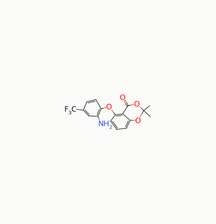 CC1(C)OC(=O)c2c(Oc3ccc(C(F)(F)F)cc3N)cccc2O1